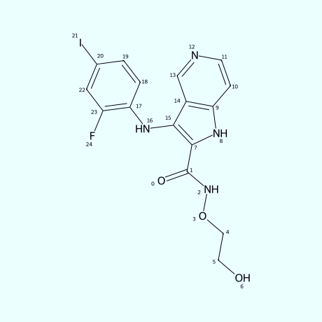 O=C(NOCCO)c1[nH]c2ccncc2c1Nc1ccc(I)cc1F